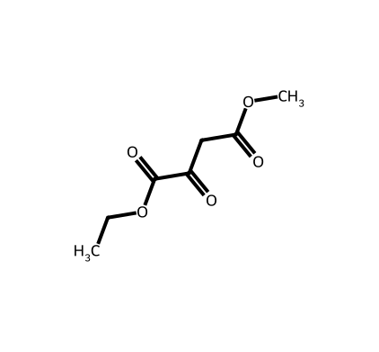 CCOC(=O)C(=O)CC(=O)OC